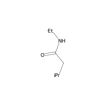 C[CH]NC(=O)CC(C)C